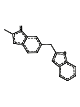 Cc1cc2ccc(Cc3cc4ccccc4o3)cc2[nH]1